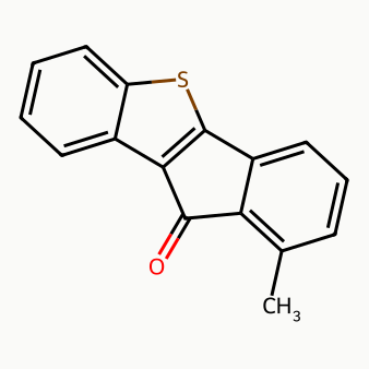 Cc1cccc2c1C(=O)c1c-2sc2ccccc12